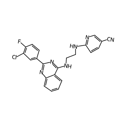 N#Cc1ccc(NCCNc2nc(-c3ccc(F)c(Cl)c3)nc3ccccc23)nc1